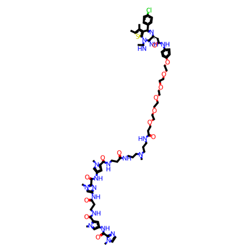 CC(=N)N1C(=N)[C@H](CC(=O)Nc2ccc(OCCOCCOCCOCCOCCOCCC(=O)NCCCN(C)CCCNC(=O)CCNC(=O)c3cc(NC(=O)c4nc(NC(=O)CCNC(=O)c5cc(NC(=O)c6nccn6C)cn5C)cn4C)cn3C)cc2)N=C(c2ccc(Cl)cc2)c2c1sc(C)c2C